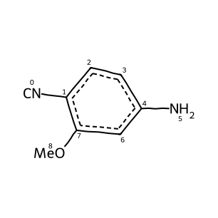 [C-]#[N+]c1ccc(N)cc1OC